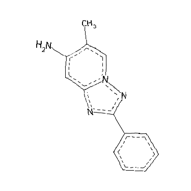 Cc1cn2nc(-c3ccccc3)nc2cc1N